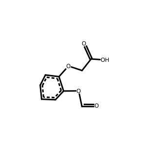 O=COc1ccccc1OCC(=O)O